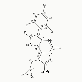 CCCc1cc2c(C)nc3c(-c4c(C)cc(C)cc4C)c(C)nn3c2n1CC1CC1